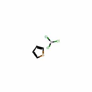 [Cl][Ti]([Cl])[Cl].[c]1cccs1